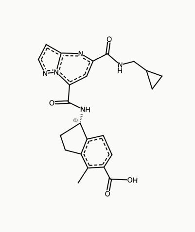 Cc1c(C(=O)O)ccc2c1CC[C@@H]2NC(=O)c1cc(C(=O)NCC2CC2)nc2ccnn12